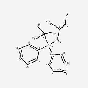 CCC(I)O[Si](c1ccccc1)(c1ccccc1)C(C)(C)C